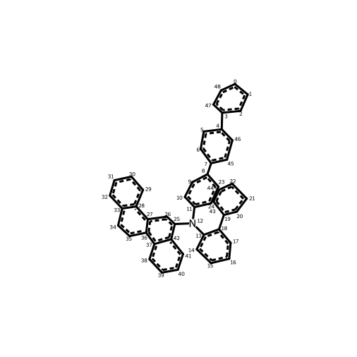 c1ccc(-c2ccc(-c3ccc(N(c4ccccc4-c4ccccc4)c4cc5c6ccccc6ccc5c5ccccc45)cc3)cc2)cc1